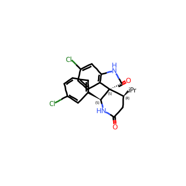 CC(C)[C@H]1CC(=O)N[C@@H](c2cccc(Cl)c2)[C@]12C(=O)Nc1cc(Cl)ccc12